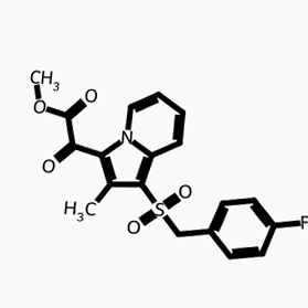 COC(=O)C(=O)c1c(C)c(S(=O)(=O)Cc2ccc(F)cc2)c2ccccn12